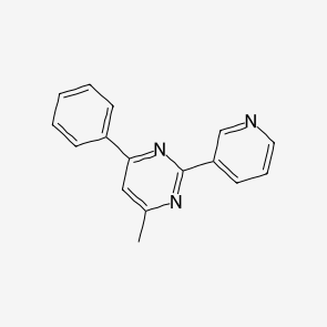 Cc1cc(-c2ccccc2)nc(-c2cccnc2)n1